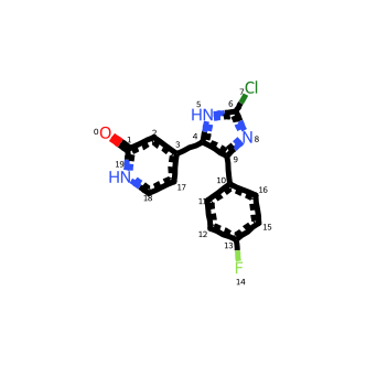 O=c1cc(-c2[nH]c(Cl)nc2-c2ccc(F)cc2)cc[nH]1